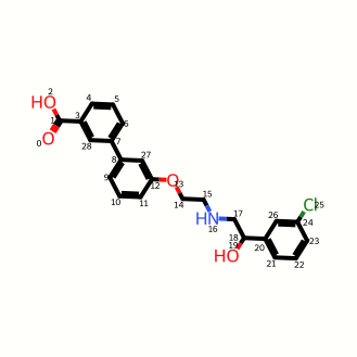 O=C(O)c1cccc(-c2cccc(OCCNCC(O)c3cccc(Cl)c3)c2)c1